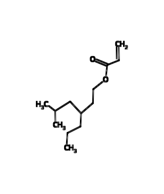 C=CC(=O)OCCC(CCC)CC(C)C